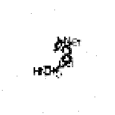 CCc1nn2c(C)cc(C)nc2c1Cc1ccc(CCC(=O)N2CCNCC2)cc1.Cl